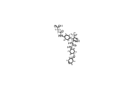 CC(C)(CC(=O)Nc1ccc(-c2c(C(C)(C)C)n[nH]c2NC(=O)Nc2ccc(Oc3ccncc3)cc2)cc1)C(=O)O